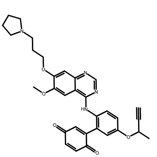 C#CC(C)Oc1ccc(Nc2ncnc3cc(OCCCN4CCCC4)c(OC)cc23)c(C2=CC(=O)C=CC2=O)c1